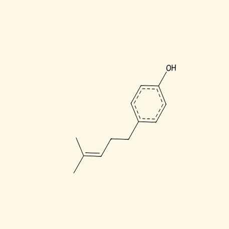 CC(C)=CCCc1ccc(O)cc1